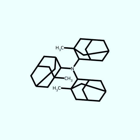 CC12CC3CC(CC(C3)C1N(C1C3CC4CC(C3)CC1(C)C4)C1C3CC4CC(C3)CC1(C)C4)C2